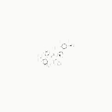 CO[C@H]1C(C(C)O)O[C@@H](c2nc(C)nn2-c2cc(Cl)cnc2C(F)(F)F)[C@@H](O)C1n1cc(-c2cc(C#N)c(Cl)c(F)c2F)cn1